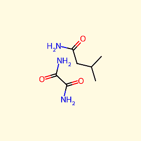 CC(C)CC(N)=O.NC(=O)C(N)=O